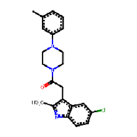 Cc1cccc(N2CCN(C(=O)Cc3c(C(=O)O)[nH]c4ccc(Cl)cc34)CC2)c1